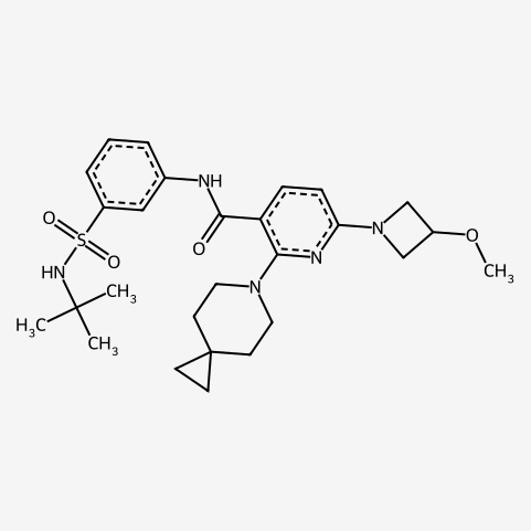 COC1CN(c2ccc(C(=O)Nc3cccc(S(=O)(=O)NC(C)(C)C)c3)c(N3CCC4(CC3)CC4)n2)C1